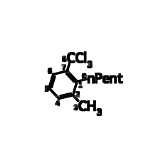 CCCCCc1c(C)cccc1C(Cl)(Cl)Cl